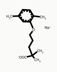 Cc1ccc(C)c(OCCCC(C)(C)C(=O)[O-])c1.[Na+]